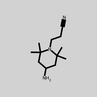 CC1(C)CC(N)CC(C)(C)N1CCC#N